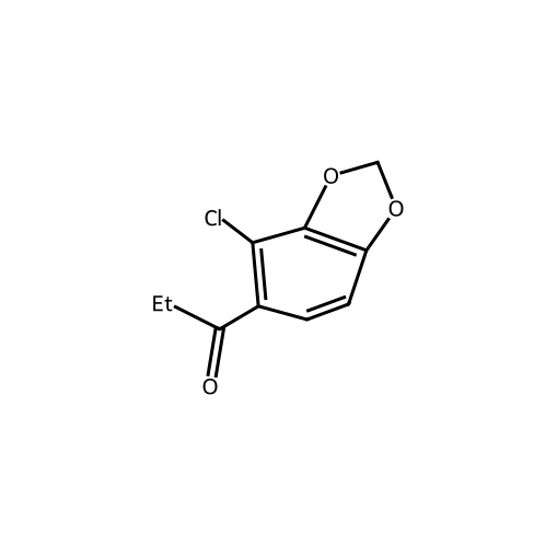 CCC(=O)c1ccc2c(c1Cl)OCO2